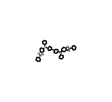 c1ccc(N(c2ccc(-c3ccc(N(c4ccccc4)c4ccc5nn(-c6ccccc6)nc5c4)cc3)cc2)c2ccc3nn(-c4ccccc4)nc3c2)cc1